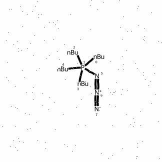 CCCCP(CCCC)(CCCC)(CCCC)N=[N+]=[N-]